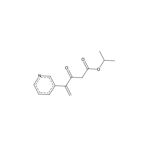 C=C(C(=O)CC(=O)OC(C)C)c1cccnc1